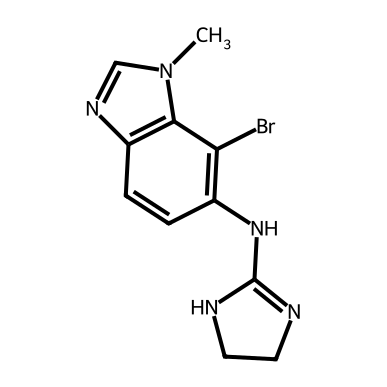 Cn1cnc2ccc(NC3=NCCN3)c(Br)c21